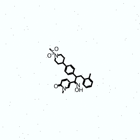 Cc1ccccc1CC(C(=NO)c1ccc(=O)n(C)c1)c1ccc(C2CCN(S(C)(=O)=O)CC2)cc1